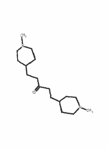 CN1CCC(CCC(=O)CCC2CCN(C)CC2)CC1